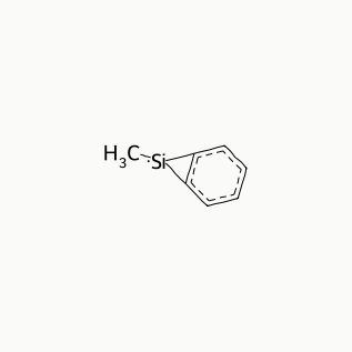 C[Si]1c2ccccc21